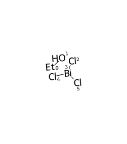 CCO.[Cl][Bi]([Cl])[Cl]